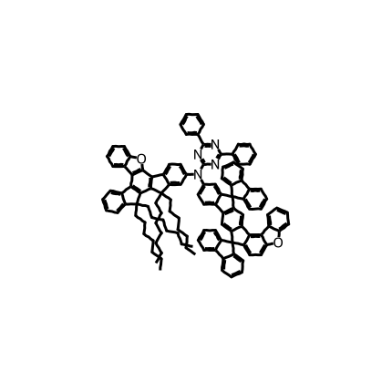 CCCCCCCC1(CCCCCCC)c2cc(N(c3ccc4c(c3)C3(c5ccccc5-c5ccccc53)c3cc5c(cc3-4)C3(c4ccccc4-c4ccccc43)c3ccc4oc6ccccc6c4c3-5)c3nc(-c4ccccc4)nc(-c4ccccc4)n3)ccc2-c2c1c1c(c3c2oc2ccccc23)-c2ccccc2C1(CCCCCCC)CCCCCCC